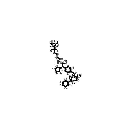 CC(C)(C)OC(=O)C(C)(C)CCCCNC(=O)C(c1ccc(CN2N=C(c3ccccc3)OCC2=O)cc1)C1CCCC1